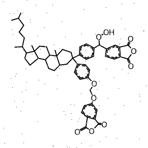 CC(C)CCCC(C)C1CCC2C3CCC4CC(c5ccc(OCOc6ccc7c(c6)C(=O)OC7=O)cc5)(c5ccc(C(OO)c6ccc7c(c6)C(=O)OC7=O)cc5)CCC4(C)C3CCC12C